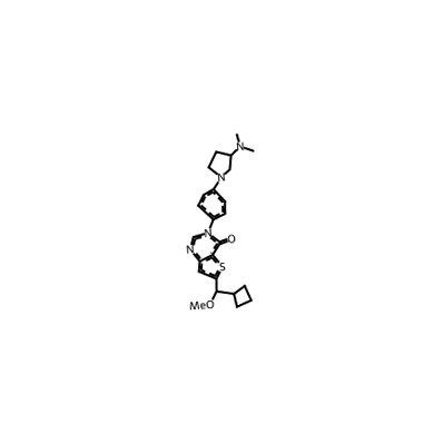 COC(c1cc2ncn(-c3ccc(N4CCC(N(C)C)C4)cc3)c(=O)c2s1)C1CCC1